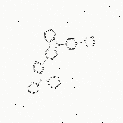 c1ccc(-c2ccc(-n3c4ccccc4c4cc(-c5cccc(N(c6ccccc6)c6ccccc6)c5)ccc43)cc2)cc1